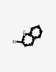 CCc1ccc2ccccc2n1